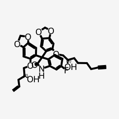 C#CCCCC[C@@H](O)COc1cc2c(cc1C1(c3cc4c(cc3OC[C@H](O)CC=C)OCO4)C(=O)Nc3cc(F)ccc31)OCO2